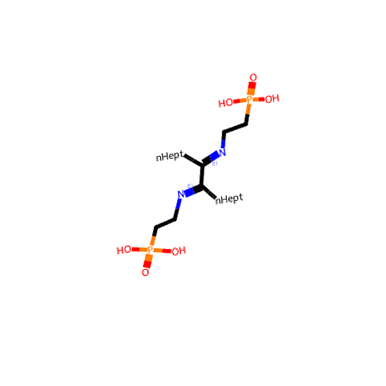 CCCCCCCC(=N\CCP(=O)(O)O)/C(CCCCCCC)=N/CCP(=O)(O)O